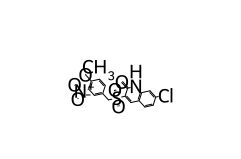 COc1ccc(CS(=O)(=O)c2cc3ccc(Cl)cc3[nH]c2=O)cc1[N+](=O)[O-]